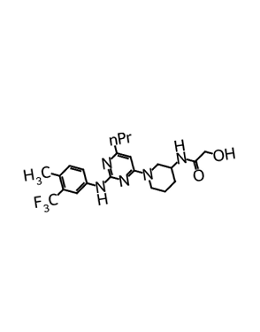 CCCc1cc(N2CCCC(NC(=O)CO)C2)nc(Nc2ccc(C)c(C(F)(F)F)c2)n1